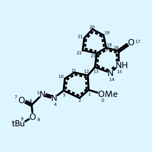 COc1cc(N=NC(=O)OC(C)(C)C)ccc1-c1n[nH]c(=O)c2ccccc12